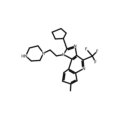 Cc1ccc2c(c1)nc(C(F)(F)F)c1nc(C3CCCC3)n(CCN3CCNCC3)c12